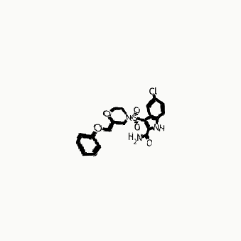 NC(=O)c1[nH]c2ccc(Cl)cc2c1S(=O)(=O)N1CCOC(COc2ccccc2)C1